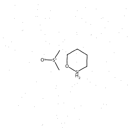 C1CC[SiH2]OC1.C[S+](C)[O-]